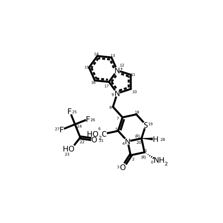 N[C@@H]1C(=O)N2C(C(=O)O)=C(Cn3cc[n+]4ccccc34)CS[C@H]12.O=C(O)C(F)(F)F